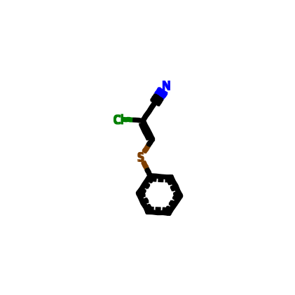 N#CC(Cl)=CSc1ccccc1